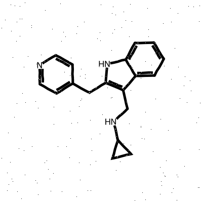 c1ccc2c(CNC3CC3)c(Cc3ccncc3)[nH]c2c1